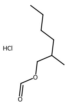 CCCCC(C)COC=O.Cl